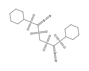 [N-]=[N+]=C(S(=O)(=O)CS(=O)(=O)C(=[N+]=[N-])S(=O)(=O)C1CCCCC1)S(=O)(=O)C1CCCCC1